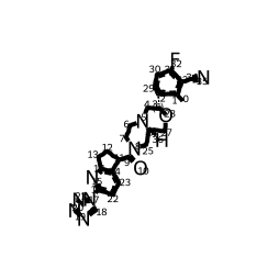 Cc1c([C@H]2CN3CCN(C(=O)C4CCc5nc(-n6cnnn6)ccc54)C[C@H]3CO2)ccc(F)c1C#N